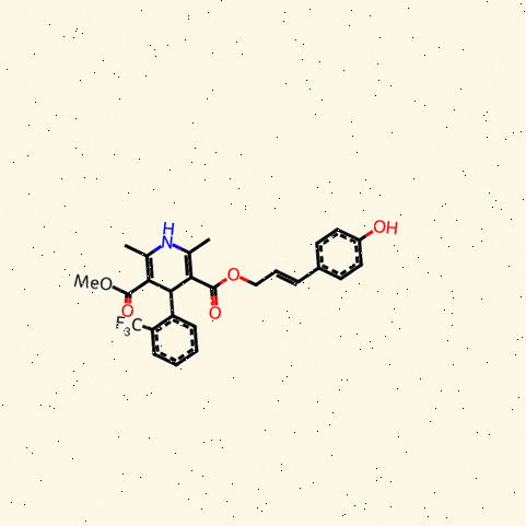 COC(=O)C1=C(C)NC(C)=C(C(=O)OCC=Cc2ccc(O)cc2)C1c1ccccc1C(F)(F)F